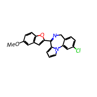 COc1ccc2oc(C3=NCc4ccc(Cl)cc4-n4cccc43)cc2c1